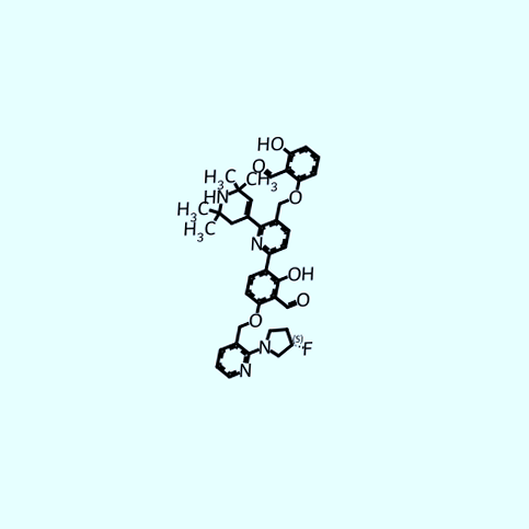 CC1(C)C=C(c2nc(-c3ccc(OCc4cccnc4N4CC[C@H](F)C4)c(C=O)c3O)ccc2COc2cccc(O)c2C=O)CC(C)(C)N1